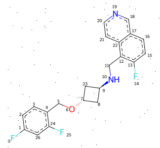 Fc1ccc(CO[C@H]2C[C@H](NCc3c(F)ccc4cnccc34)C2)c(F)c1